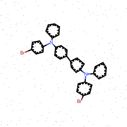 Brc1ccc(N(c2ccccc2)c2ccc(-c3ccc(N(c4ccccc4)c4ccc(Br)cc4)cc3)cc2)cc1